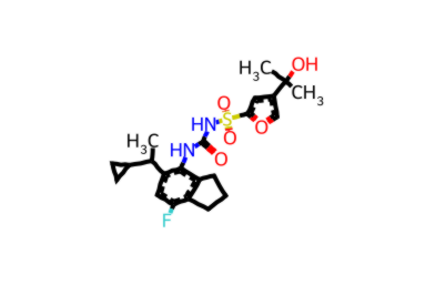 CC(c1cc(F)c2c(c1NC(=O)NS(=O)(=O)c1cc(C(C)(C)O)co1)CCC2)C1CC1